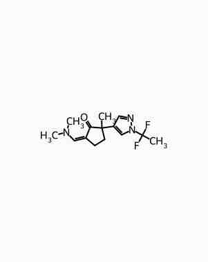 CN(C)C=C1CCC(C)(c2cnn(C(C)(F)F)c2)C1=O